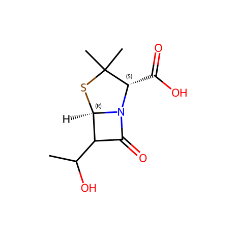 CC(O)C1C(=O)N2[C@@H]1SC(C)(C)[C@@H]2C(=O)O